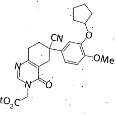 CCOC(=O)Cn1cnc2c(c1=O)CC(C#N)(c1ccc(OC)c(OC3CCCC3)c1)CC2